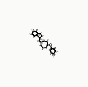 Fc1ccc(OC2CCCN(CC3CCc4ccccc43)CC2)cc1